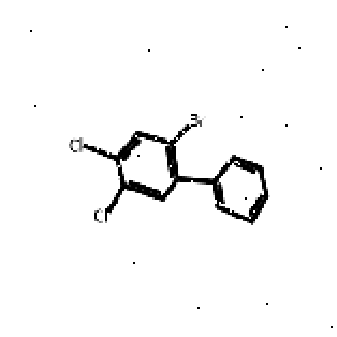 Clc1cc(Br)c(-c2ccccc2)cc1Cl